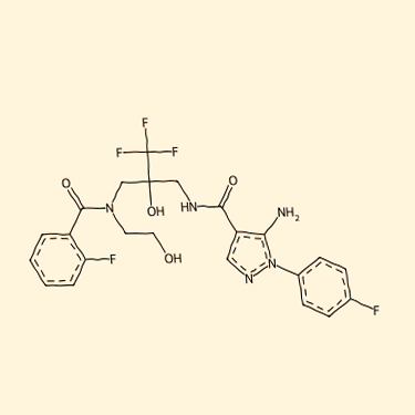 Nc1c(C(=O)NCC(O)(CN(CCO)C(=O)c2ccccc2F)C(F)(F)F)cnn1-c1ccc(F)cc1